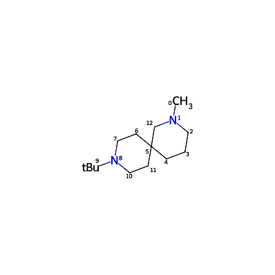 CN1CCCC2(CCN(C(C)(C)C)CC2)C1